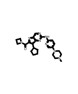 CN1CCN(c2ccc(Nc3ncc4sc(C(=O)N5CCC5)c(C5CCCC5)c4n3)nc2)CC1